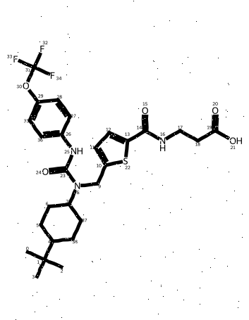 CC(C)(C)C1CCC(N(Cc2ccc(C(=O)NCCC(=O)O)s2)C(=O)Nc2ccc(OC(F)(F)F)cc2)CC1